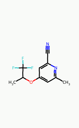 Cc1cc(OC(C)C(F)(F)F)cc(C#N)n1